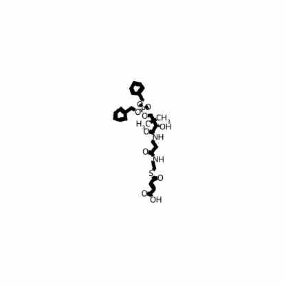 CC(C)(COP(=O)(OCc1ccccc1)OCc1ccccc1)[C@@H](O)C(=O)NCCC(=O)NCCSC(=O)C=CC(=O)O